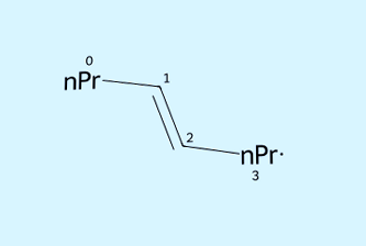 [CH2]CCC=C[CH]CC